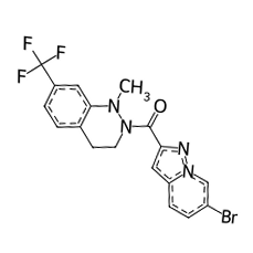 CN1c2cc(C(F)(F)F)ccc2CCN1C(=O)c1cc2ccc(Br)cn2n1